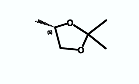 [CH2][C@H]1COC(C)(C)O1